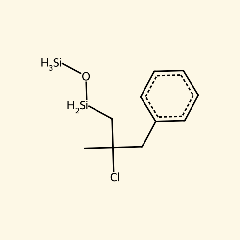 CC(Cl)(C[SiH2]O[SiH3])Cc1ccccc1